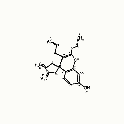 C=CCC1=C(CC=C)C(CC=C)(CC=C)c2ccc(O)cc2O1